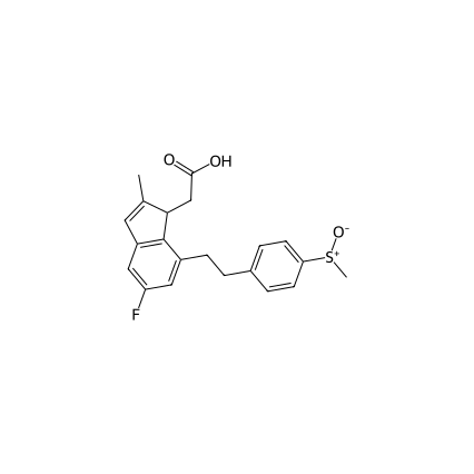 CC1=Cc2cc(F)cc(CCc3ccc([S+](C)[O-])cc3)c2C1CC(=O)O